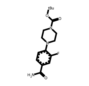 CC(C)(C)OC(=O)N1CCN(c2ccc(C(N)=O)cc2F)CC1